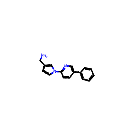 NCc1ccn(-c2ccc(-c3ccccc3)cn2)c1